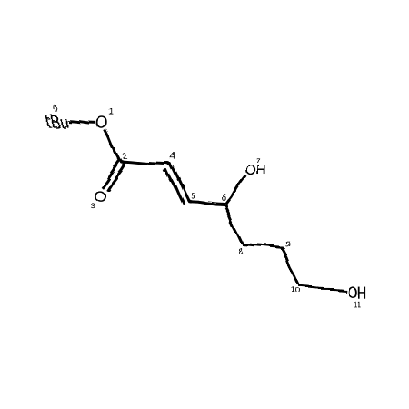 CC(C)(C)OC(=O)C=CC(O)CCCO